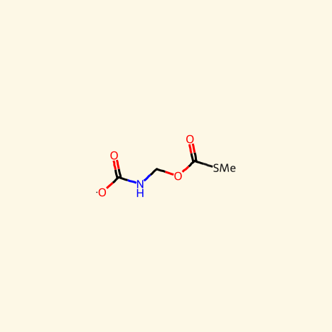 CSC(=O)OCNC([O])=O